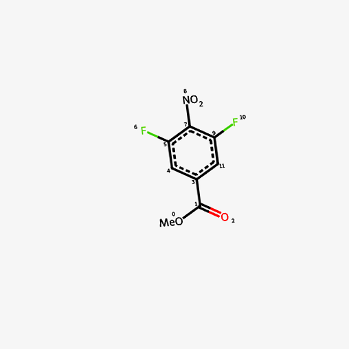 COC(=O)c1cc(F)c([N+](=O)[O-])c(F)c1